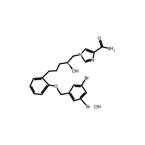 Cl.NC(=O)c1cn(C[C@@H](O)CCCc2ccccc2OCc2cc(Br)cc(Br)c2)cn1